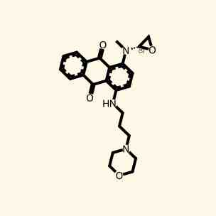 CN(c1ccc(NCCCN2CCOCC2)c2c1C(=O)c1ccccc1C2=O)[C@@H]1CO1